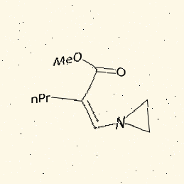 CCCC(=CN1CC1)C(=O)OC